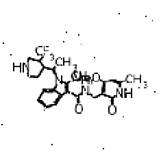 COc1cc(C)[nH]c(=O)c1CNC(=O)c1c(C)n(C(C)C2CCNCC2C(F)(F)F)c2ccccc12